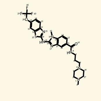 CN1CCN(CCCNC(=O)c2ccc3c(c2)nc(Nc2nc4ccc(OC(F)(F)F)cc4s2)n3C)CC1